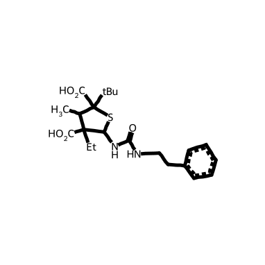 CCC1(C(=O)O)C(NC(=O)NCCc2ccccc2)SC(C(=O)O)(C(C)(C)C)C1C